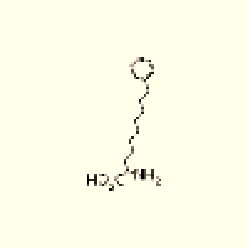 NC(CCCCCCCCc1ccccc1)C(=O)O